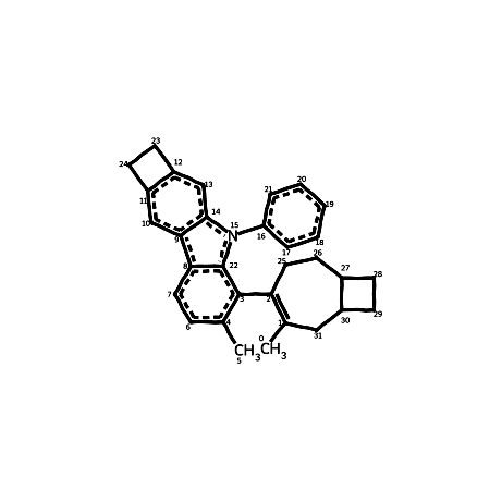 CC1=C(c2c(C)ccc3c4cc5c(cc4n(-c4ccccc4)c23)CC5)CCC2CCC2C1